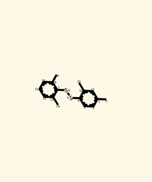 Cc1ccc(SSc2c(C)cccc2C)c(C)c1